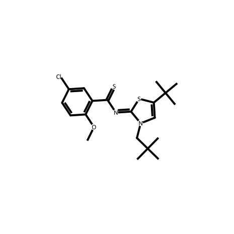 COc1ccc(Cl)cc1C(=S)N=c1sc(C(C)(C)C)cn1CC(C)(C)C